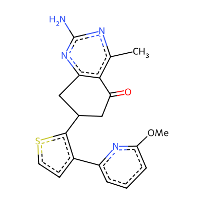 COc1cccc(-c2ccsc2C2CC(=O)c3c(C)nc(N)nc3C2)n1